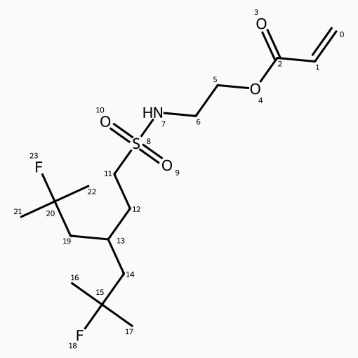 C=CC(=O)OCCNS(=O)(=O)CCC(CC(C)(C)F)CC(C)(C)F